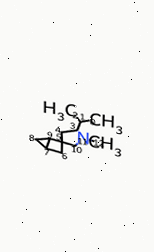 CC(C)C1CC2(CC3CC32)CN1C